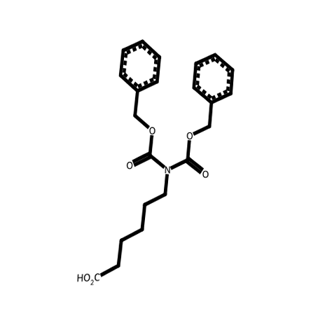 O=C(O)CCCCCN(C(=O)OCc1ccccc1)C(=O)OCc1ccccc1